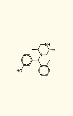 Cc1ccccc1C(c1cccc(O)c1)N1C[C@H](C)NC[C@@H]1C